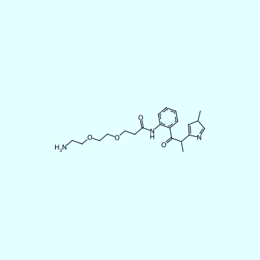 CC1C=NC(C(C)C(=O)c2ccccc2NC(=O)CCOCCOCCN)=C1